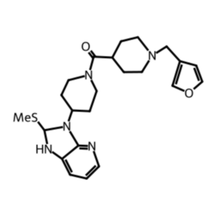 CSC1Nc2cccnc2N1C1CCN(C(=O)C2CCN(Cc3ccoc3)CC2)CC1